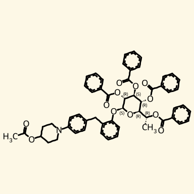 CC(=O)OC1CCN(c2ccc(Cc3ccccc3O[C@@H]3O[C@H]([C@@H](C)OC(=O)c4ccccc4)[C@@H](OC(=O)c4ccccc4)[C@H](OC(=O)c4ccccc4)[C@H]3OC(=O)c3ccccc3)cc2)CC1